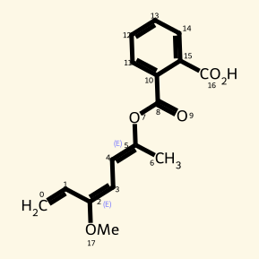 C=C/C(=C\C=C(/C)OC(=O)c1ccccc1C(=O)O)OC